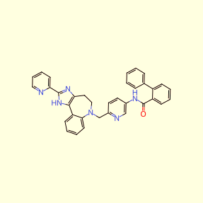 O=C(Nc1ccc(CN2CCc3nc(-c4ccccn4)[nH]c3-c3ccccc32)nc1)c1ccccc1-c1ccccc1